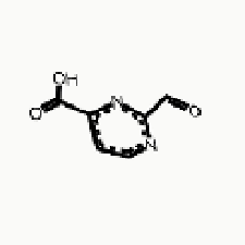 O=Cc1nccc(C(=O)O)n1